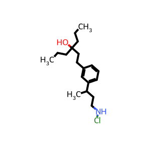 CCCC(O)(CCC)CCc1cccc(C(C)CCNCl)c1